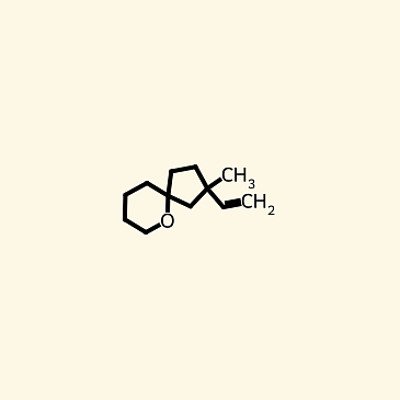 C=CC1(C)CCC2(CCCCO2)C1